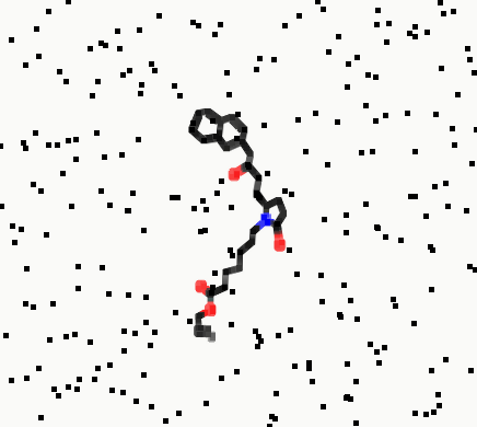 CCOC(=O)CCCCCCN1C(=O)CC[C@@H]1CCC(=O)Cc1ccc2ccccc2c1